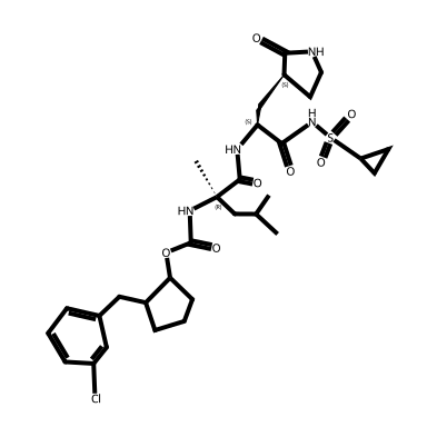 CC(C)C[C@@](C)(NC(=O)OC1CCCC1Cc1cccc(Cl)c1)C(=O)N[C@@H](C[C@@H]1CCNC1=O)C(=O)NS(=O)(=O)C1CC1